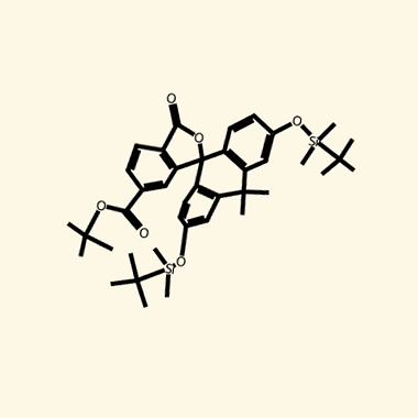 CC(C)(C)OC(=O)c1ccc2c(c1)C1(OC2=O)c2ccc(O[Si](C)(C)C(C)(C)C)cc2C(C)(C)c2cc(O[Si](C)(C)C(C)(C)C)ccc21